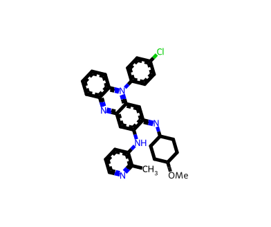 COC1CCC(N=c2cc3n(-c4ccc(Cl)cc4)c4ccccc4nc-3cc2Nc2cccnc2C)CC1